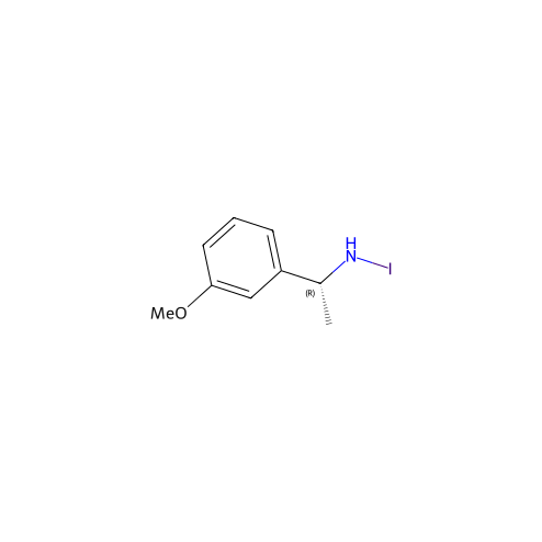 COc1cccc([C@@H](C)NI)c1